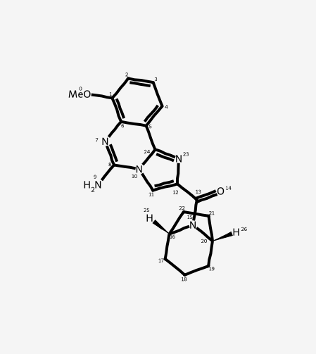 COc1cccc2c1nc(N)n1cc(C(=O)N3[C@@H]4CCC[C@H]3CC4)nc21